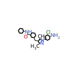 Cc1nn(-c2ccc(N)c(Cl)c2)c(C)c1Cc1cccc(C(=O)Nc2ccccc2)c1